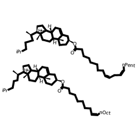 CCCCC/C=C\C/C=C\CCCCCCCC(=O)O[C@H]1CC[C@@]2(C)C(=CC[C@H]3[C@@H]4CC[C@H]([C@H](C)CCCC(C)C)[C@@]4(C)CC[C@@H]32)C1.CCCCCCCC/C=C\CCCCCCCC(=O)O[C@H]1CC[C@@]2(C)C(=CC[C@H]3[C@@H]4CC[C@H]([C@H](C)CCCC(C)C)[C@@]4(C)CC[C@@H]32)C1